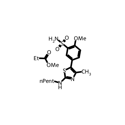 CCC(=O)OC.CCCCCNc1nc(C)c(-c2ccc(OC)c(S(N)(=O)=O)c2)s1